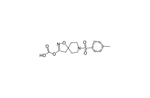 Cc1ccc(S(=O)(=O)N2CCC3(CC2)CC(OC(=O)O)=NO3)cc1